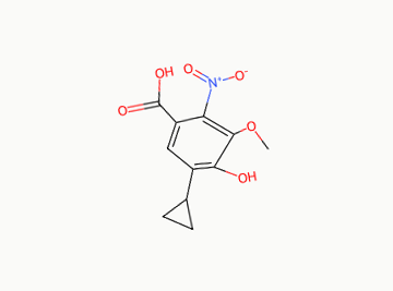 COc1c(O)c(C2CC2)cc(C(=O)O)c1[N+](=O)[O-]